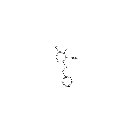 COc1c(OCc2ccccc2)cc[n+]([O-])c1C